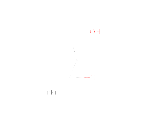 CCCC1OC1CO